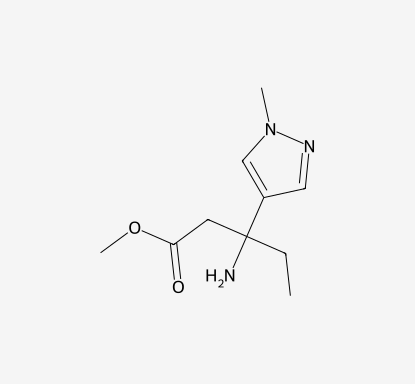 CCC(N)(CC(=O)OC)c1cnn(C)c1